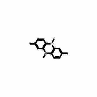 CB1c2ccc(C)cc2B(C)c2ccc(C)cc21